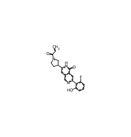 C=CC(=O)N1CCC(c2cc3cnc(-c4c(O)cccc4F)cc3c(=O)[nH]2)C1